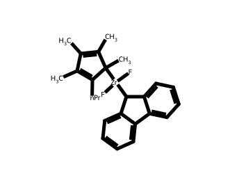 CCCC1=C(C)C(C)=C(C)[C]1(C)[Zr]([F])([F])[CH]1c2ccccc2-c2ccccc21